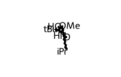 COc1cc(CNC(=O)CCCC/C=C/C(C)C)cc(CC(C)(C)C)c1O